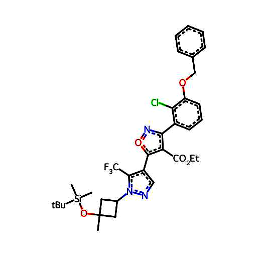 CCOC(=O)c1c(-c2cccc(OCc3ccccc3)c2Cl)noc1-c1cnn(C2CC(C)(O[Si](C)(C)C(C)(C)C)C2)c1C(F)(F)F